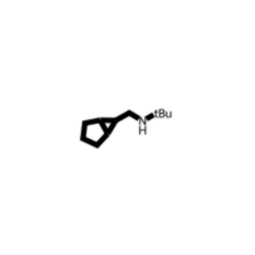 CC(C)(C)NCC1C2CCCC21